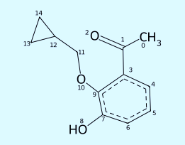 CC(=O)c1cccc(O)c1OCC1CC1